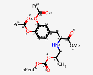 CCCCCOC(=O)OC(C)CN[C@@H](Cc1ccc(OC(=O)C(C)C)c(OC(=O)C(C)C)c1)C(=O)OC